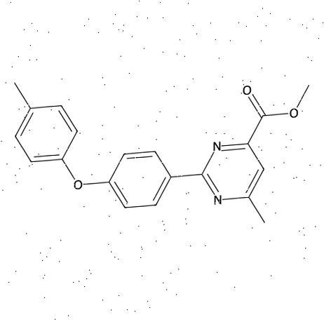 COC(=O)c1cc(C)nc(-c2ccc(Oc3ccc(C)cc3)cc2)n1